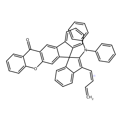 C=C/C=C\C1=C(N(c2ccccc2)c2ccccc2)C2(c3ccccc31)c1ccccc1-c1cc3c(=O)c4ccccc4oc3cc12